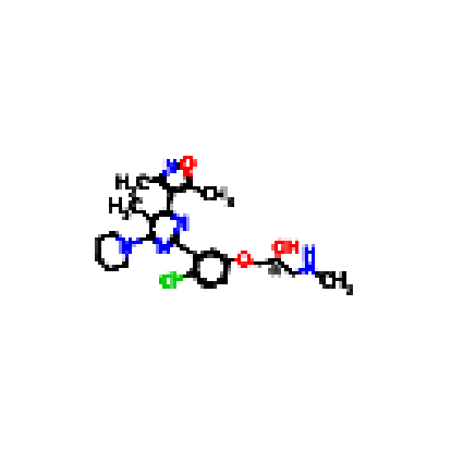 CNC[C@@H](O)COc1ccc(Cl)c(-c2nc(-c3c(C)noc3C)c(C)c(N3CCCCC3)n2)c1